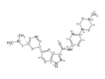 CN(C)CC1=CN=CC(c2ccc3[nH]nc(C(=O)Nc4ccc(N5CCN(C)CC5)nc4)c3c2)C1